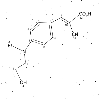 CCN(CCO)c1ccc(/C=C(\C#N)C(=O)O)cc1